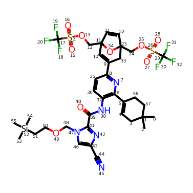 CC1(C)CC=C(c2nc(C3=CC4(COS(=O)(=O)C(F)(F)F)C=CC(COS(=O)(=O)C(F)(F)F)(C3)O4)ccc2NC(=O)c2nc(C#N)cn2COCC[Si](C)(C)C)CC1